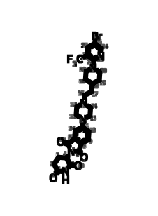 O=C1CCC(N2C(=O)c3ccc(N4CCN(CCC5CCN(c6ncc(Br)cc6C(F)(F)F)CC5)CC4)cc3C2=O)C(=O)N1